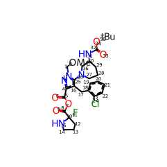 COCn1nc(C(=O)OC(=O)[C@@]2(F)CCCN2)c(Cc2ccccc2Cl)c1N1CCC[C@@H](NC(=O)OC(C)(C)C)C1